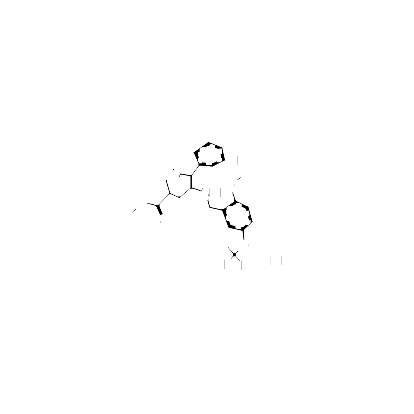 COC(=O)C1CNC(c2ccccc2)C(NCc2cc(OC(F)(F)F)ccc2OC)C1.Cl.Cl